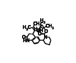 CC(C)C(O)C1CC(=O)Nc2ccc(C3CCCCN3C(=O)OC(C)(C)C)cc21